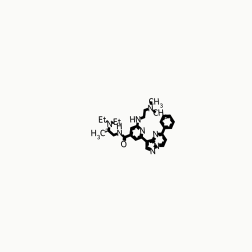 CCN(CC)[C@@H](C)CNC(=O)c1cc(NCCN(C)C)nc(-c2cnn3ccc(-c4ccccc4)nc23)c1